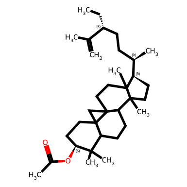 C=C(C)[C@H](CC)CC[C@@H](C)[C@H]1CCC2(C)C3CCC4C(C)(C)[C@@H](OC(C)=O)CCC45CC35CCC12C